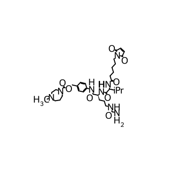 CC(C)C(NC(=O)CCCCCN1C(=O)C=CC1=O)C(=O)N[C@@H](CCCNC(N)=O)C(=O)Nc1ccc(COC(=O)N2CCCN(C)CC2)cc1